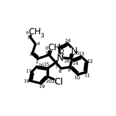 C=C(/C=C\CCC)C(Cc1ccccc1)(c1ccccc1Cl)n1ccnc1